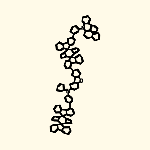 c1ccc(-c2ccccc2N(c2cccc(-c3ccc4c(c3)-c3ccccc3C43c4ccccc4C4(c5ccccc5-c5c(-c6ccc7oc8ccc(N(c9ccccc9)c9ccc(-c%10cccc%11c%10-c%10ccccc%10C%11%10c%11ccccc%11C%11(c%12ccccc%12-c%12ccccc%12%11)c%11ccccc%11%10)cc9)cc8c7c6)cccc54)c4ccccc43)c2)c2ccc3ccccc3c2)cc1